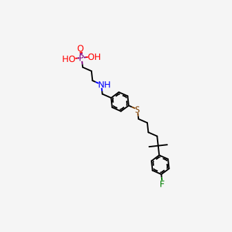 CC(C)(CCCCSc1ccc(CNCCCP(=O)(O)O)cc1)c1ccc(F)cc1